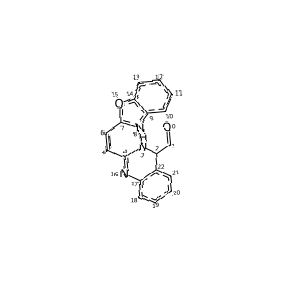 O=CC1NC(/C=C\c2nc3ccccc3o2)=Nc2ccccc21